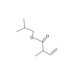 C=CC(C)C(=O)OCC(C)C